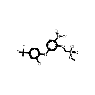 COP(=O)(Cl)COc1cc(Oc2ccc(C(F)(F)F)cc2Cl)ccc1[N+](=O)[O-]